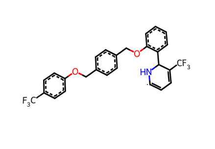 FC(F)(F)C1=CC=[C]NC1c1ccccc1OCc1ccc(COc2ccc(C(F)(F)F)cc2)cc1